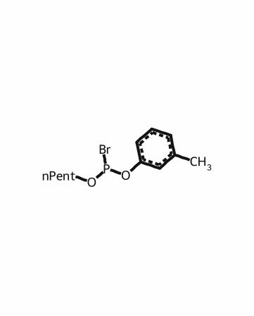 CCCCCOP(Br)Oc1cccc(C)c1